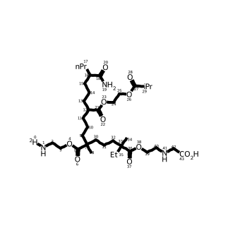 [2H]NCCOC(=O)C(C)(CCCC(CCCC(CCC)C(N)=O)C(=O)OCCOC(=O)C(C)C)CCCC(C)(CC)C(=O)OCCNCC(=O)O